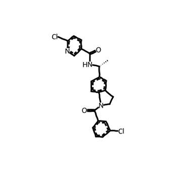 C[C@@H](NC(=O)c1ccc(Cl)nc1)c1ccc2c(c1)CCN2C(=O)c1cccc(Cl)c1